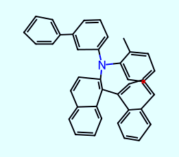 Cc1ccccc1N(c1cccc(-c2ccccc2)c1)c1ccc2ccccc2c1-c1cccc2ccccc12